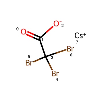 O=C([O-])C(Br)(Br)Br.[Cs+]